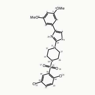 COc1cc(OC)cc(-c2csc(N3CCN(S(=O)(=O)c4cc(Cl)ccc4Cl)CC3)n2)c1